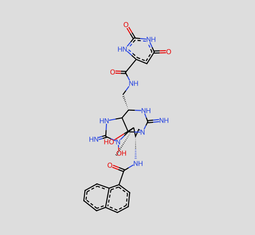 C[C@]1(O)[C@@H](NC(=O)c2cccc3ccccc23)CN2C(=N)N[C@@H](CNC(=O)c3cc(=O)[nH]c(=O)[nH]3)C3NC(=N)N(O)C321